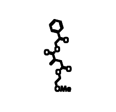 C=C(CC(=O)OCCOC)C(=O)OCC(=O)c1ccccc1